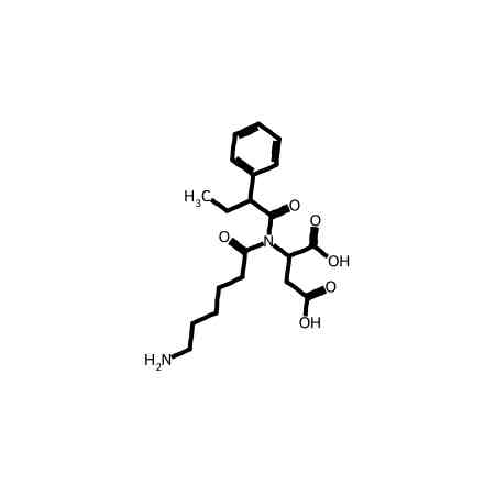 CCC(C(=O)N(C(=O)CCCCCN)C(CC(=O)O)C(=O)O)c1ccccc1